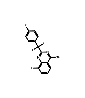 Oc1nc(C(F)(F)c2ccc(F)cc2)nc2c(F)cccc12